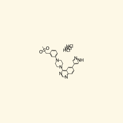 CS(=O)(=O)Cc1cccc(N2CCN(c3ncnc4ccc(-c5cn[nH]c5)cc34)CC2)c1.Cl.Cl.Cl